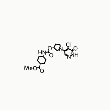 COC(=O)[C@H]1CC[C@@H](NC(=O)O[C@@H]2CCN(c3cn[nH]c(=O)c3Cl)C2)CC1